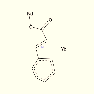 O=C(/C=C/c1ccccc1)[O][Nd].[Yb]